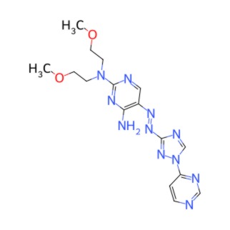 COCCN(CCOC)c1ncc(N=Nc2ncn(-c3ccncn3)n2)c(N)n1